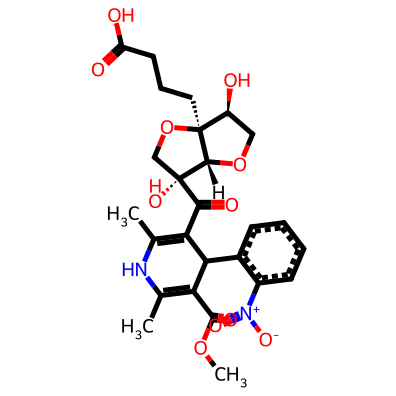 COC(=O)C1=C(C)NC(C)=C(C(=O)[C@@]2(O)CO[C@@]3(CCCC(=O)O)[C@@H](O)CO[C@@H]32)C1c1ccccc1[N+](=O)[O-]